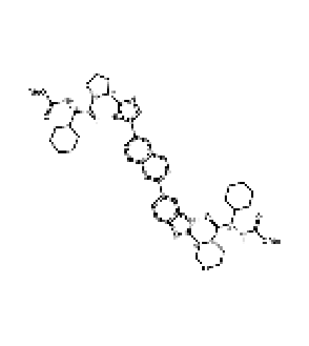 COC(=O)N[C@H](C(=O)N1CCC[C@H]1c1ncc(-c2ccc3cc(-c4ccc5nc([C@@H]6COCCN6C(=O)[C@@H](NC(=O)OC)C6CCCCC6)[nH]c5c4)ccc3c2)[nH]1)C1CCCCC1